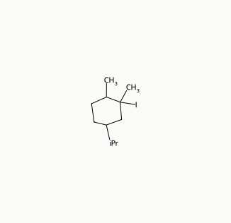 CC(C)C1CCC(C)C(C)(I)C1